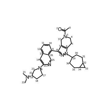 CC(=O)N1CCc2c(c(-c3cccc4cc(N5CC[C@H](N(C)C)C5)ncc34)nn2C2CCC3CC3CC2)C1